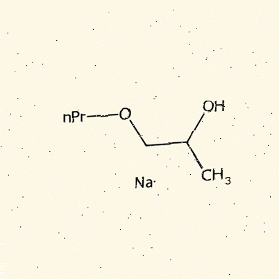 CCCOCC(C)O.[Na]